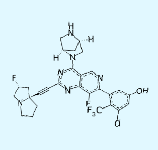 Oc1cc(Cl)c(C(F)(F)F)c(-c2ncc3c(N4C[C@H]5C[C@@H]4CN5)nc(C#C[C@@]45CCCN4C[C@H](F)C5)nc3c2F)c1